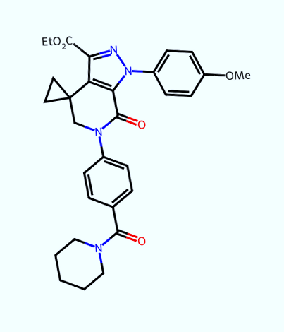 CCOC(=O)c1nn(-c2ccc(OC)cc2)c2c1C1(CC1)CN(c1ccc(C(=O)N3CCCCC3)cc1)C2=O